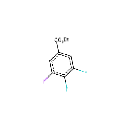 CCOC(=O)c1cc(F)c(F)c(I)c1